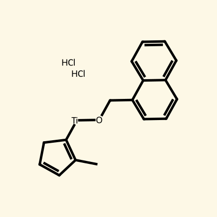 CC1=[C]([Ti][O]Cc2cccc3ccccc23)CC=C1.Cl.Cl